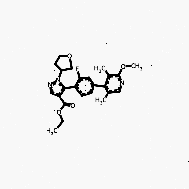 CCOC(=O)c1cnn(C2CCOC2)c1-c1ccc(-c2c(C)cnc(OC)c2C)cc1F